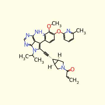 C=CC(=O)N1C[C@@H]2[C@@H](C#Cc3c(-c4ccc(Oc5cccc(C)n5)c(OC)c4)c4c(N)ncnc4n3C(C)C)[C@@H]2C1